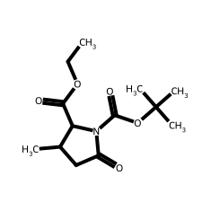 CCOC(=O)C1C(C)CC(=O)N1C(=O)OC(C)(C)C